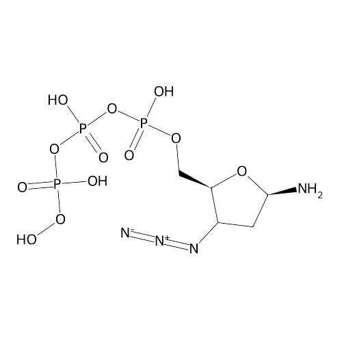 [N-]=[N+]=NC1C[C@H](N)O[C@@H]1COP(=O)(O)OP(=O)(O)OP(=O)(O)OO